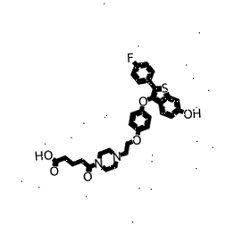 O=C(O)CCCC(=O)N1CCN(CCOc2ccc(Oc3c(-c4ccc(F)cc4)sc4cc(O)ccc34)cc2)CC1